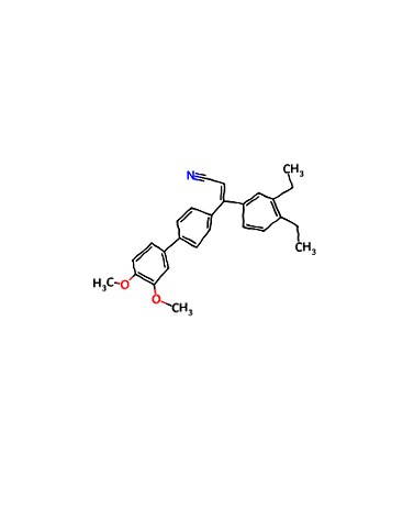 CCc1ccc(C(=CC#N)c2ccc(-c3ccc(OC)c(OC)c3)cc2)cc1CC